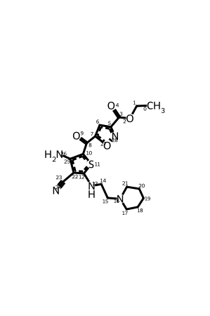 CCOC(=O)c1cc(C(=O)c2sc(NCCN3CCCCC3)c(C#N)c2N)on1